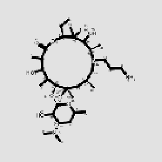 CC[C@@H]1OC(=O)C(C)C(O)C(C)[C@H](O[C@@H]2OC(C)C[C@H](N(C)C)C2O)[C@@](C)(O)C[C@H](C)CN(CCCN)[C@H](C)C(O)C1(C)O